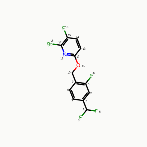 Fc1cc(C(F)F)ccc1COc1ccc(F)c(Br)n1